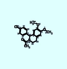 COc1cc2c(cc1OC)C(c1ccc(Cl)cc1)N(C(C)=O)CC2